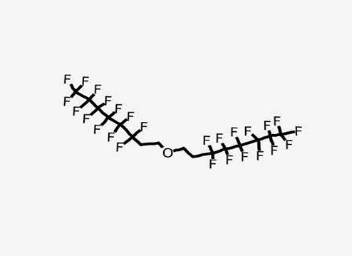 FC(F)(F)C(F)(F)C(F)(F)C(F)(F)C(F)(F)C(F)(F)CCOCCC(F)(F)C(F)(F)C(F)(F)C(F)(F)C(F)(F)C(F)(F)F